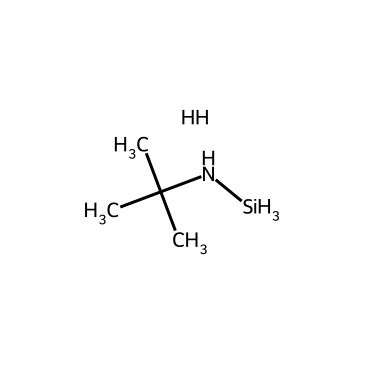 CC(C)(C)N[SiH3].[HH]